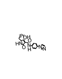 CC(C)CC1NC(=O)C(C(=O)Nc2ccc(-n3ccnc3)cc2)=C1O